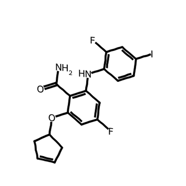 NC(=O)c1c(Nc2ccc(I)cc2F)cc(F)cc1OC1CC=CC1